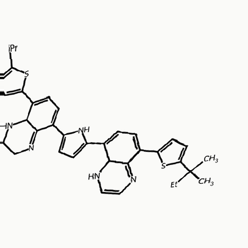 CCC(C)(C)c1ccc(C2=CC=C(c3ccc(C4=CC=C(c5ccc(C(C)C)s5)C5NCCN=C45)[nH]3)C3NC=CN=C23)s1